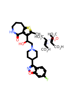 Cc1sc2c(c1C(O)CN1CCC(c3noc4cc(F)ccc34)CC1)C(=O)NCCC2.O.O=C(O)/C=C/C(=O)O.O=C(O)/C=C/C(=O)O